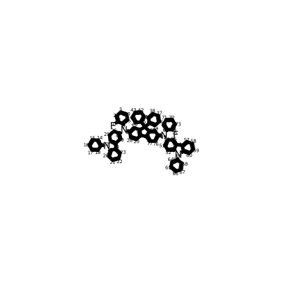 Fc1ccccc1N(C1=Cc2c(n(-c3ccccc3)c3ccccc23)CC1)c1ccc2c(c1)C(c1ccccc1)(c1ccccc1)c1cc(N(c3ccc4c(c3)c3ccccc3n4-c3ccccc3)c3ccccc3F)ccc1-2